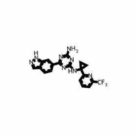 Nc1nc(NC2(c3cccc(C(F)(F)F)n3)CC2)nc(-c2ccc3cn[nH]c3c2)n1